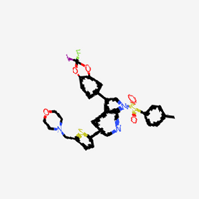 Cc1ccc(S(=O)(=O)n2cc(-c3ccc4c(c3)OC(F)(I)O4)c3cc(-c4ccc(CN5CCOCC5)s4)cnc32)cc1